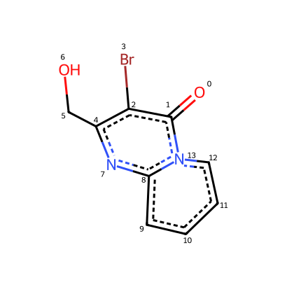 O=c1c(Br)c(CO)nc2ccccn12